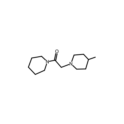 CC1CCN(CC(=O)N2CCCCC2)CC1